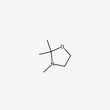 CN1CCOC1(C)C